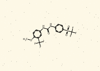 COc1ccc(NC(=O)Nc2ccc(S(=O)(=O)C(F)(F)F)cc2)cc1C(F)(F)F